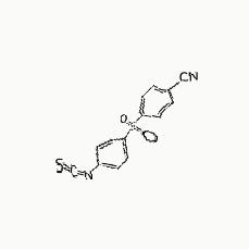 N#Cc1ccc(S(=O)(=O)c2ccc(N=C=S)cc2)cc1